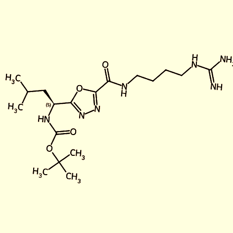 CC(C)C[C@H](NC(=O)OC(C)(C)C)c1nnc(C(=O)NCCCCNC(=N)N)o1